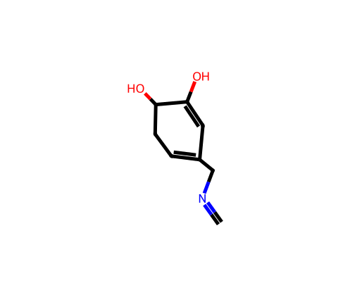 C=NCC1=CCC(O)C(O)=C1